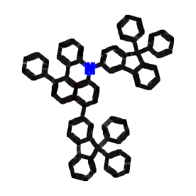 c1ccc(-c2ccccc2-c2ccccc2N(c2ccc(-c3ccc4c(c3)C(c3ccccc3)(c3ccccc3)c3ccccc3-4)cc2)c2ccc3c(c2)-c2ccccc2C3(c2ccccc2)c2ccccc2)cc1